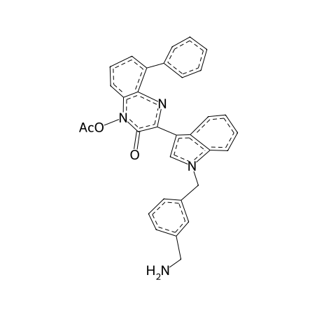 CC(=O)On1c(=O)c(-c2cn(Cc3cccc(CN)c3)c3ccccc23)nc2c(-c3ccccc3)cccc21